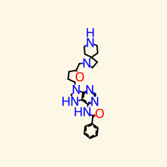 O=C(Nc1ncnc2c1NCN2C1CCC(CN2CCC23CCNCC3)O1)c1ccccc1